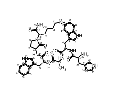 C[C@H](NC(=O)[C@@H](Cc1c[nH]c2ccccc12)NC(=O)[C@@H](N)Cc1c[nH]cn1)C(=O)N[C@@H](Cc1c[nH]c2ccccc12)C(=O)N[C@H]1CCN([C@@H](CCCCN)C(N)=O)C1=O